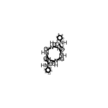 CC(C(=O)NC1CCCCC1)N1CC(=O)NCC(=O)NCC(=O)N(C(C)C(=O)NC2CCCCC2)CC(=O)NCC(=O)NCC1=O